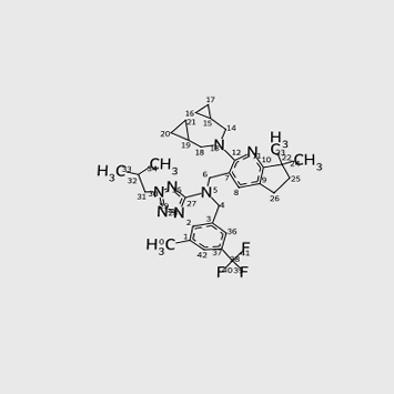 Cc1cc(CN(Cc2cc3c(nc2N(CC2CC2)CC2CC2)C(C)(C)CC3)c2nnn(CC(C)C)n2)cc(C(F)(F)F)c1